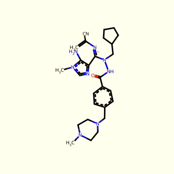 C=C(C#N)/N=C(\c1ncn(C)c1N)N(CC1CCCC1)NC(=O)c1ccc(CN2CCN(C)CC2)cc1